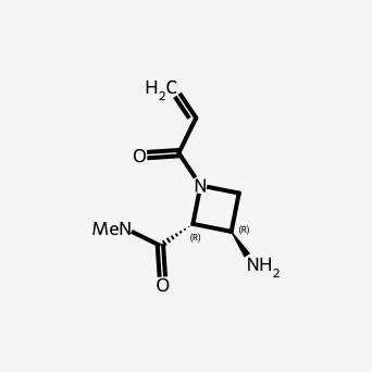 C=CC(=O)N1C[C@@H](N)[C@@H]1C(=O)NC